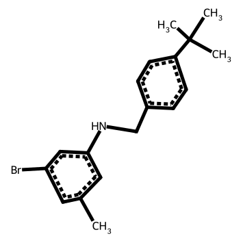 Cc1cc(Br)cc(NCc2ccc(C(C)(C)C)cc2)c1